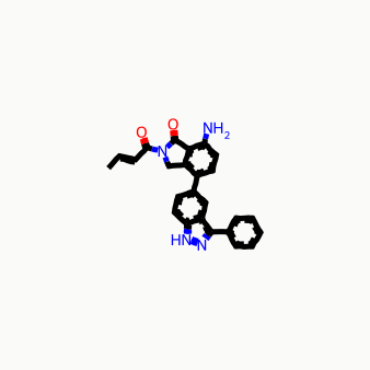 C/C=C/C(=O)N1Cc2c(-c3ccc4[nH]nc(-c5ccccc5)c4c3)ccc(N)c2C1=O